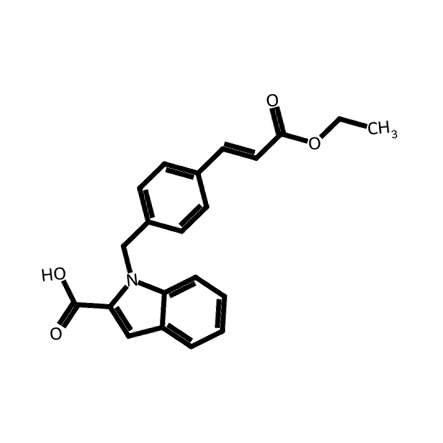 CCOC(=O)C=Cc1ccc(Cn2c(C(=O)O)cc3ccccc32)cc1